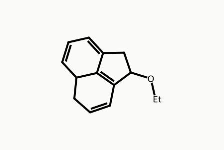 CCOC1CC2=CC=CC3CC=CC1=C23